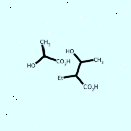 CC(O)C(=O)O.CCC(C(=O)O)C(C)O